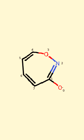 [O]C1=NOC=CC=C1